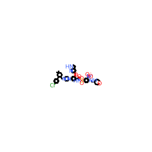 CC1(C)CCC(CN2CCN(c3ccc(C(=O)NS(=O)(=O)c4ccc(NC[C@H]5CCCOCC5)c([N+](=O)[O-])c4)c(Oc4cnc5[nH]ccc5c4)c3)CC2)=C(c2ccc(Cl)cc2)C1